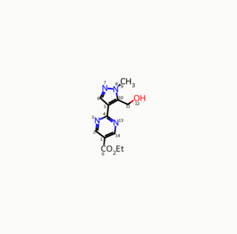 CCOC(=O)c1cnc(-c2cnn(C)c2CO)nc1